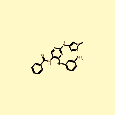 Cn1cc(Nc2ncc(NC(=O)c3ccccc3)c(Nc3cccc(N)c3)n2)cn1